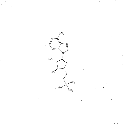 CC(C)(C)[Si](C)(C)OC[C@H]1O[C@@H](n2cnc3c(N)ncnc32)[C@@H](O)[C@@H]1O